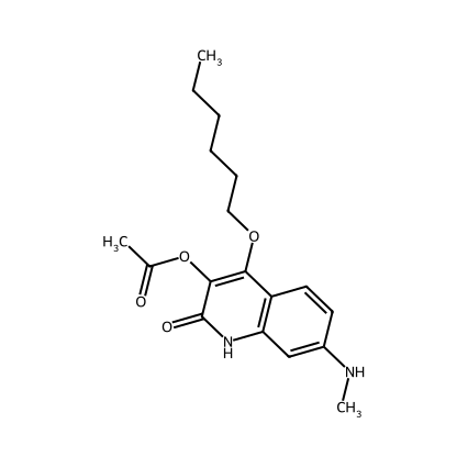 CCCCCCOc1c(OC(C)=O)c(=O)[nH]c2cc(NC)ccc12